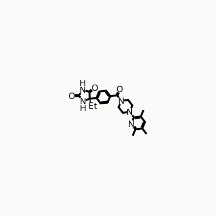 CC[C@@]1(c2ccc(C(=O)N3CCN(c4nc(C)c(C)cc4C)CC3)cc2)NC(=O)NC1=O